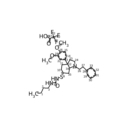 CCCCNC(=O)NSC1CCC2(c3ccc(OC)c(OC)c3)CCN(CCc3ccccc3)C2C1.O=C(O)C(F)(F)F